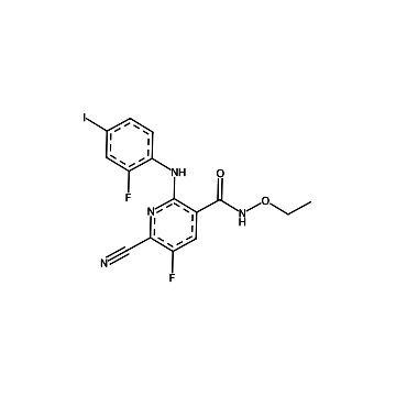 CCONC(=O)c1cc(F)c(C#N)nc1Nc1ccc(I)cc1F